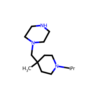 CC(C)N1CCC(C)(CN2CCNCC2)CC1